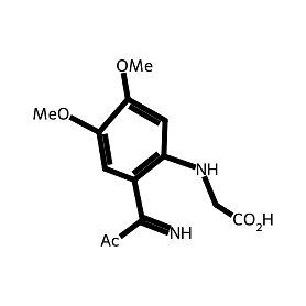 COc1cc(NCC(=O)O)c(C(=N)C(C)=O)cc1OC